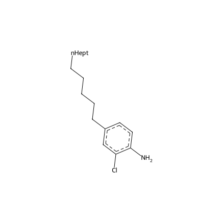 CCCCCCCCCCCCc1ccc(N)c(Cl)c1